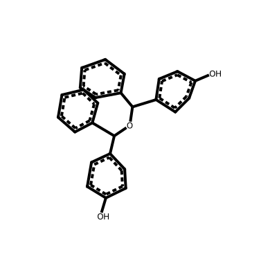 Oc1ccc(C(OC(c2ccccc2)c2ccc(O)cc2)c2ccccc2)cc1